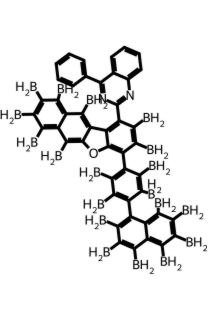 Bc1c(B)c(-c2c(B)c(B)c(B)c3c(B)c(B)c(B)c(B)c23)c(B)c(B)c1-c1c(B)c(B)c(-c2nc(-c3ccccc3)c3ccccc3n2)c2c1oc1c(B)c3c(B)c(B)c(B)c(B)c3c(B)c12